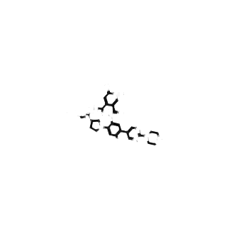 CN(CC(F)(F)F)[C@@H]1CCN(c2cc(F)c(-c3cnc(N4CCOCC4)nc3)cc2NC(=O)c2c[nH]c(=O)cc2C(F)F)C1